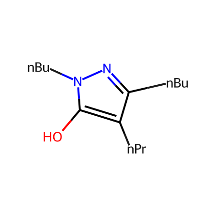 CCCCc1nn(CCCC)c(O)c1CCC